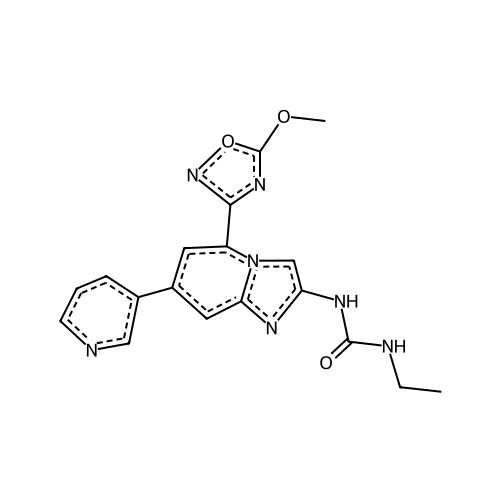 CCNC(=O)Nc1cn2c(-c3noc(OC)n3)cc(-c3cccnc3)cc2n1